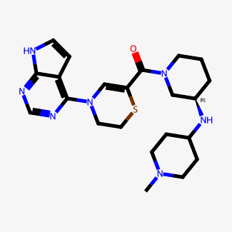 CN1CCC(N[C@@H]2CCCN(C(=O)C3=CN(c4ncnc5[nH]ccc45)CCS3)C2)CC1